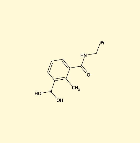 Cc1c(B(O)O)cccc1C(=O)NCC(C)C